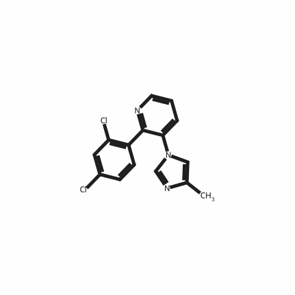 Cc1cn(-c2cc[c]nc2-c2ccc(Cl)cc2Cl)cn1